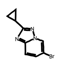 Brc1ccc2nc(C3CC3)nn2c1